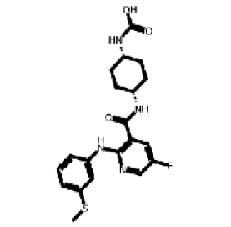 CSc1cccc(Nc2ncc(F)cc2C(=O)N[C@H]2CC[C@@H](NC(=O)O)CC2)c1